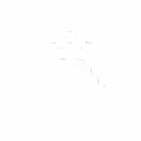 O=C(O)CCCCn1cc(CN(CC(=O)O)C2CCCCC2N(CC(=O)O)CC(=O)O)nn1